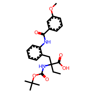 CCC(Cc1ccccc1NC(=O)c1cccc(OC)c1)(NC(=O)OC(C)(C)C)C(=O)O